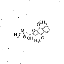 COc1c2ccccc2c(OC)c2oc(C(O)CS(C)(=O)=O)cc12